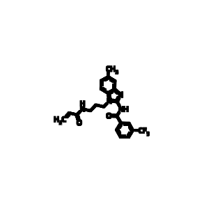 C=CC(=O)NCCCn1c(NC(=O)c2cccc(C(F)(F)F)c2)nc2cc(C)ccc21